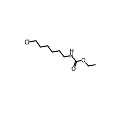 CCOC(=O)NCCCCCCCl